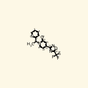 CC(c1ccccn1)n1ccc(-c2noc(C(F)(F)F)n2)cc1=O